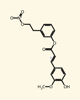 COc1cc(/C=C/C(=O)Oc2cccc(CCO[N+](=O)[O-])c2)ccc1O